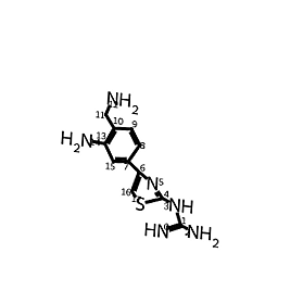 N=C(N)Nc1nc(-c2ccc(CN)c(N)c2)cs1